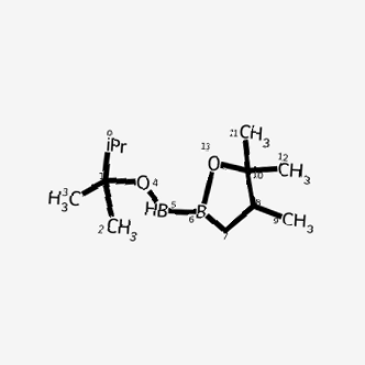 CC(C)C(C)(C)OBB1CC(C)C(C)(C)O1